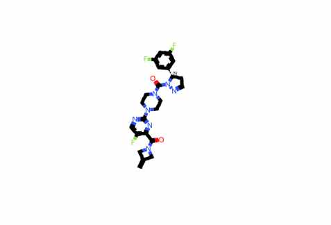 C=C1CN(C(=O)c2nc(N3CCN(C(=O)N4N=CC[C@H]4c4cc(F)cc(F)c4)CC3)ncc2F)C1